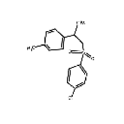 CC(=O)OC(CS(=O)(=O)c1ccc(Cl)cc1)c1ccc(C)cc1